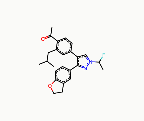 CC(=O)c1ccc(-c2cn(C(C)F)nc2-c2ccc3c(c2)CCO3)cc1CC(C)C